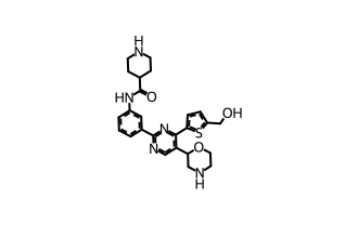 O=C(Nc1cccc(-c2ncc(C3CNCCO3)c(-c3ccc(CO)s3)n2)c1)C1CCNCC1